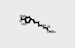 COC(=O)c1ccc(/C=C/CCNCC(=O)OC(C)(C)C)cc1O